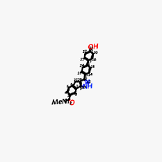 CNC(=O)c1ccc2c(c1)-c1[nH]nc(-c3ccc(-c4ccc(O)cc4)cc3)c1C2